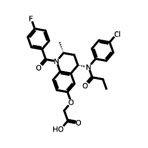 CCC(=O)N(c1ccc(Cl)cc1)[C@H]1C[C@@H](C)N(C(=O)c2ccc(F)cc2)c2ccc(OCC(=O)O)cc21